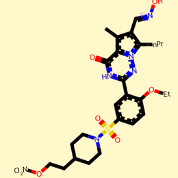 CCCc1c(/C=N/O)c(C)c2c(=O)[nH]c(-c3cc(S(=O)(=O)N4CCC(CCO[N+](=O)[O-])CC4)ccc3OCC)nn12